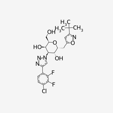 CC(C)(C)c1cc(C[C@H]2O[C@H](CO)[C@H](O)[C@H](n3cc(-c4ccc(Cl)c(F)c4F)nn3)[C@H]2O)on1